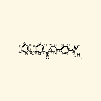 C[S+]([O-])c1ccc(C2=NN(C(=O)c3cccc(Oc4ccccc4)c3)CC2)cc1